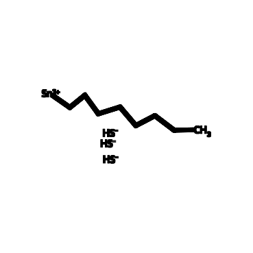 CCCCCCC[CH2][Sn+3].[SH-].[SH-].[SH-]